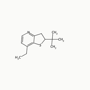 CCc1ccnc2c1SC(C(C)(C)C)C2